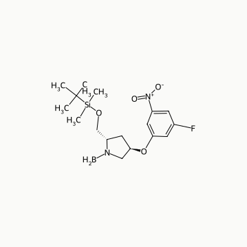 BN1C[C@H](Oc2cc(F)cc([N+](=O)[O-])c2)C[C@H]1CO[Si](C)(C)C(C)(C)C